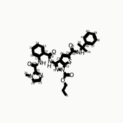 CCCOC(=O)n1nc(NC(=O)c2ccccc2NC(=O)c2nccn2C)c2cc(C(=O)NC(C)(C)c3ccccc3)sc21